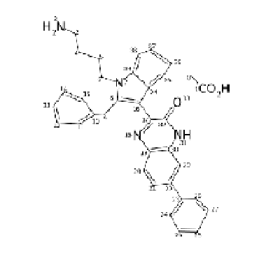 CC(=O)O.NCCCCn1c(Cc2ccccc2)c(-c2nc3ccc(-c4ccccc4)cc3[nH]c2=O)c2ccccc21